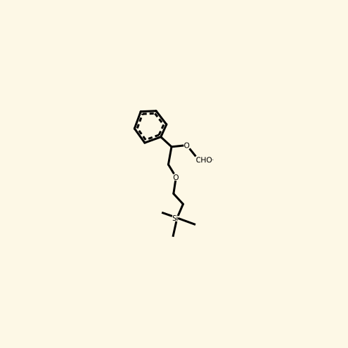 C[Si](C)(C)CCOCC(O[C]=O)c1ccccc1